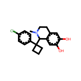 CN1CCc2cc(O)c(O)cc2C1C1(c2ccc(Cl)cc2)CCC1